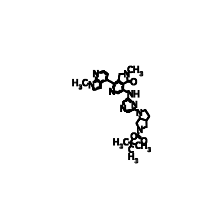 CN1Cc2c(-c3ccnc4c3ccn4C)ncc(Nc3cncc(N4CCC5CN(C(=O)OC(C)(C)C)CC54)n3)c2C1=O